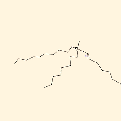 CCCCCC/C=C/[Si](C)(CCCCCCCC)CCCCCCCCCC